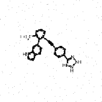 O=C(O)c1cccc(C#Cc2ccc(C3=NNNN3)cc2)c1-c1ccc2cc[nH]c2c1